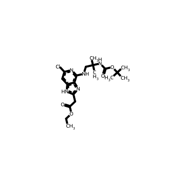 CCOC(=O)Cc1nc2c(NCC(C)(C)NC(=O)OC(C)(C)C)nc(Cl)cc2[nH]1